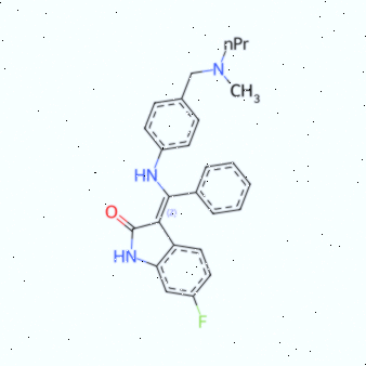 CCCN(C)Cc1ccc(N/C(=C2\C(=O)Nc3cc(F)ccc32)c2ccccc2)cc1